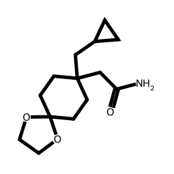 NC(=O)CC1(CC2CC2)CCC2(CC1)OCCO2